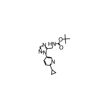 CC(C)(C)OC(=O)NCc1ncnn1-c1ccc(C2CC2)nc1